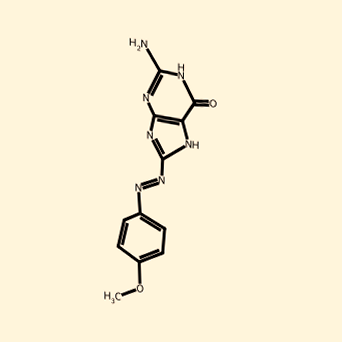 COc1ccc(N=Nc2nc3nc(N)[nH]c(=O)c3[nH]2)cc1